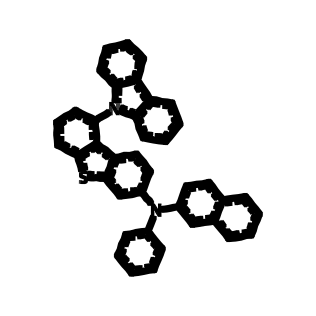 c1ccc(N(c2ccc3ccccc3c2)c2ccc3c(c2)sc2cccc(-n4c5ccccc5c5ccccc54)c23)cc1